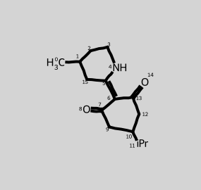 CC1CCNC(=C2C(=O)CC(C(C)C)CC2=O)C1